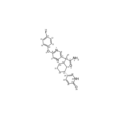 CC(C(N)=O)(c1cnc(Oc2ccc(F)cc2)cn1)C1CCC[C@@H](c2ccc(=O)[nH]c2)C1